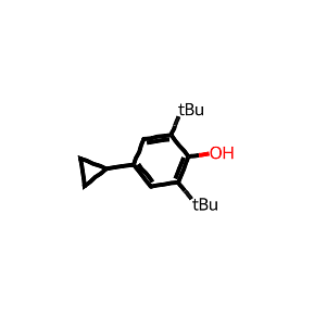 CC(C)(C)c1cc(C2CC2)cc(C(C)(C)C)c1O